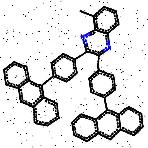 Cc1cccc2nc(-c3ccc(-c4c5ccccc5cc5ccccc45)cc3)c(-c3ccc(-c4c5ccccc5cc5ccccc45)cc3)nc12